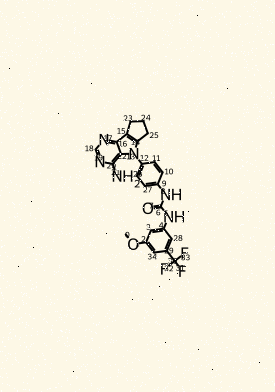 COc1cc(NC(=O)Nc2ccc(-n3c4c(c5ncnc(N)c53)CCC4)cc2)cc(C(F)(F)F)c1